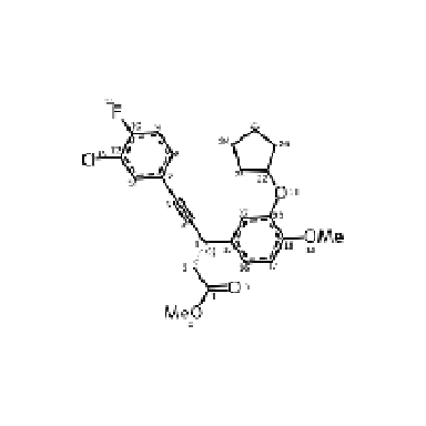 COC(=O)C[C@H](C#Cc1ccc(F)c(Cl)c1)c1ccc(OC)c(OC2CCCC2)c1